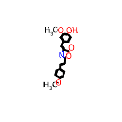 COc1ccc(C=CC2=NC(=Cc3ccc(O)c(OC)c3)C(=O)O2)cc1